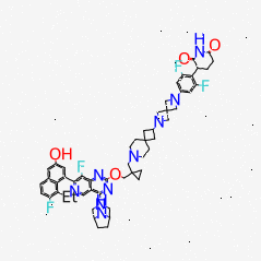 CCc1c(F)ccc2cc(O)cc(-c3ncc4c(N5CC6CCC(C5)N6)nc(OCC5(CN6CCC7(CC6)CC(N6CC8(CN(c9cc(F)c(C%10CCC(=O)NC%10=O)c(F)c9)C8)C6)C7)CC5)nc4c3F)c12